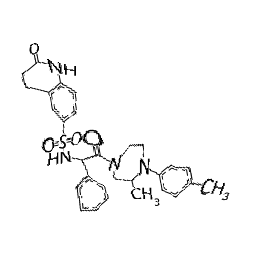 Cc1ccc(N2CCN(C(=O)C(NS(=O)(=O)c3ccc4c(c3)CCC(=O)N4)c3ccccc3)CC2C)cc1